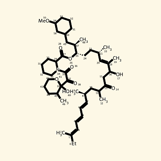 CC/C(C)=C/C=C/C=C/[C@@H](C)CC(C)C(=O)CC(O)/C(C)=C/[C@@H](C)CC[C@H](OC(=O)C1CCCCN1C(=O)C(=O)C1(O)OCCCC1C)[C@H](C)CC1CCCC(OC)C1